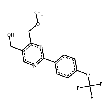 COCc1nc(-c2ccc(OC(F)(F)F)cc2)ncc1CO